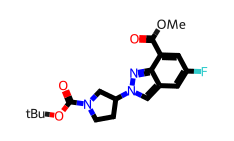 COC(=O)c1cc(F)cc2cn(C3CCN(C(=O)OC(C)(C)C)C3)nc12